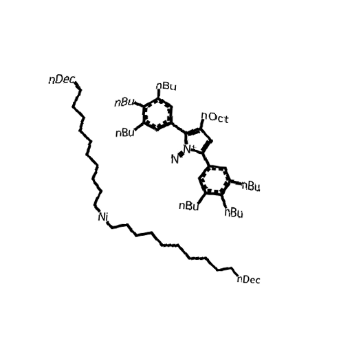 CCCCCCCCC1=C(c2cc(CCCC)c(CCCC)c(CCCC)c2)[N+](=[N-])C(c2cc(CCCC)c(CCCC)c(CCCC)c2)=C1.CCCCCCCCCCCCCCCCCCC[CH2][Ni][CH2]CCCCCCCCCCCCCCCCCCC